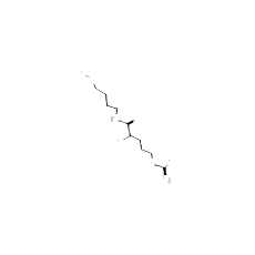 N=C(N)NCCCC(N)C(=O)NCCCCO[N+](=O)[O-]